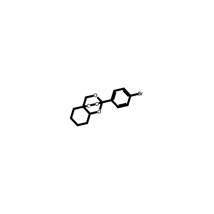 Brc1ccc(C23OCC4(CCCCC4O2)CO3)cc1